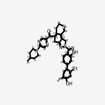 CCc1cc(O)c(F)cc1-c1ccc2c(N3CC4=C5C=NCCC5=C(C(=O)c5cnc(N6CCC(C)CC6)cn5)CC4=N3)n[nH]c2c1